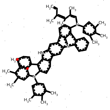 C=C/C(C)=C(C)\C(C)=C/N(c1cc(C)c(C)c(C)c1)c1ccc2c3cc4[nH]c5c(-c6ccccc6)c(N(c6cc(C)c(C)c(C)c6)c6cc(C)c(C)c(C)c6)ccc5c4cc3n3c4ccccc4c1c23